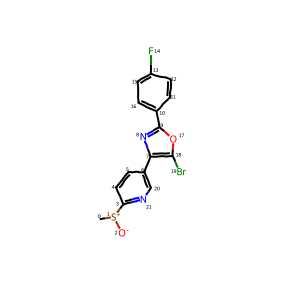 C[S+]([O-])c1ccc(-c2nc(-c3ccc(F)cc3)oc2Br)cn1